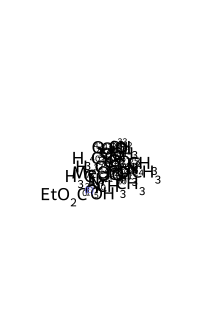 CCOC(=O)/C=C/C(CO)N(C)CC(C)CC(C)(OC)C(O[C@@H]1O[C@H](C)C[C@H](N(C)C)[C@H]1OC(=O)c1ccccc1)C(C)C1=C(C)C(=O)OC(C)(C)O1